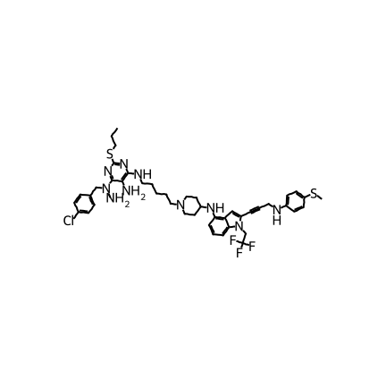 CCCSc1nc(NCCCCCN2CCC(Nc3cccc4c3cc(C#CCNc3ccc(SC)cc3)n4CC(F)(F)F)CC2)c(N)c(N(N)Cc2ccc(Cl)cc2)n1